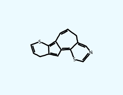 C1=CSC2=C3C=CCC4=CN=CSC4=C3C=C2C1